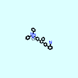 CN1C(c2ccccc2)=NC(c2ccccc2)=NC1c1ccc(-c2ccc(-c3ccc(-c4ccccc4C#N)cc3)c3ccccc23)cc1